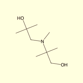 CN(CC(C)(C)O)C(C)(C)CO